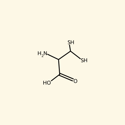 NC(C(=O)O)C(S)S